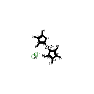 CC1=C(C)C(C)=[C]([Zr+2][CH]2C(C)=C(C)C(C)=C2C)C1.[Cl-].[Cl-]